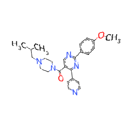 COc1ccc(-c2ncc(C(=O)N3CCN(CC(C)C)CC3)c(-c3ccncc3)n2)cc1